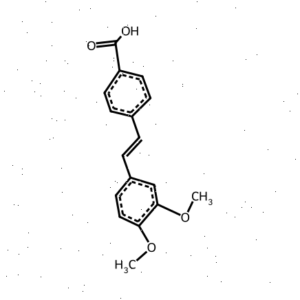 COc1ccc(/C=C/c2ccc(C(=O)O)cc2)cc1OC